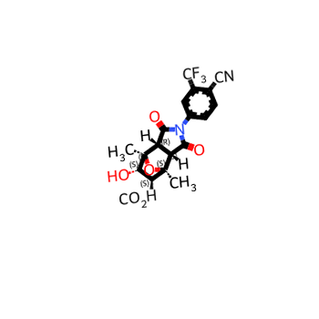 C[C@]12O[C@](C)([C@@H]3C(=O)N(c4ccc(C#N)c(C(F)(F)F)c4)C(=O)[C@@H]31)[C@@H](O)[C@@H]2C(=O)O